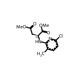 COC(=O)C[C@H](Nc1nc(Cl)ccc1C)C(=O)OC